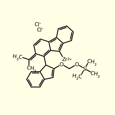 CC(C)=c1ccc2c(c1C1C(OCO[Si](C)(C)C)=Cc3ccccc31)[C]([Zr+2])=c1ccccc1=2.[Cl-].[Cl-]